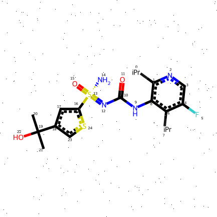 CC(C)c1ncc(F)c(C(C)C)c1NC(=O)N=[S@](N)(=O)c1cc(C(C)(C)O)cs1